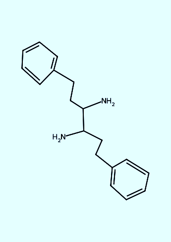 NC(CCc1ccccc1)C(N)CCc1ccccc1